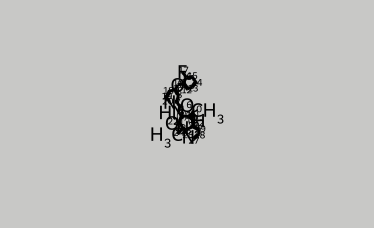 C[C@@H]1C2[C@H](NC(=O)c3cc(Oc4ccccc4F)ccn3)C(=O)N(C)c3ncccc3[C@@H]21